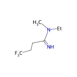 CCN(C)C(=N)CCC(F)(F)F